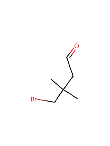 CC(C)(CBr)CC=O